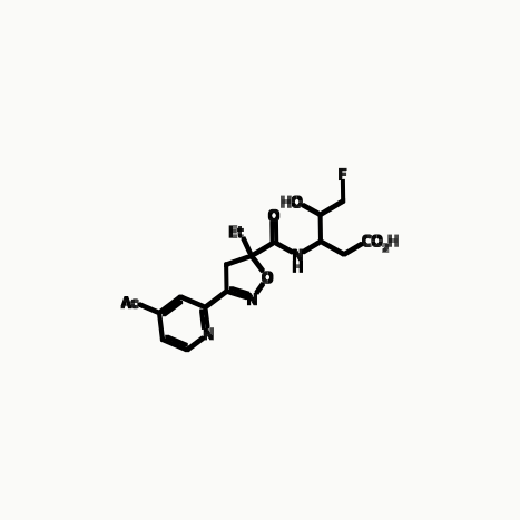 CCC1(C(=O)NC(CC(=O)O)C(O)CF)CC(c2cc(C(C)=O)ccn2)=NO1